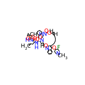 C=CCC(NC(=O)[C@@H]1C[C@@H]2CN1C(=O)[C@H](C1CCCCC1)NC(=O)O[C@@H]1C[C@H]1CCCCCc1c(nc3ccccc3c1O[C@H]1CCN(C)C[C@H]1F)O2)C(=O)NS(=O)(=O)C1(C)CC1